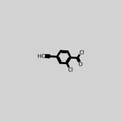 C#Cc1ccc(C(=O)Cl)c(Cl)c1